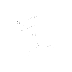 CC#N.CC(C)=O.ClC(Cl)Cl